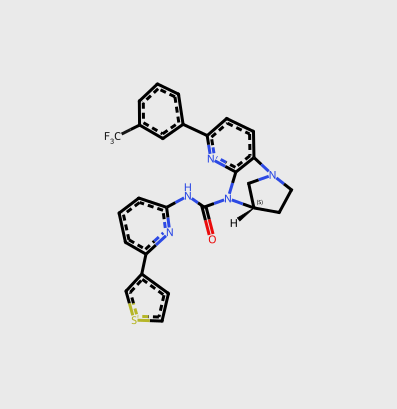 O=C(Nc1cccc(-c2ccsc2)n1)N1c2nc(-c3cccc(C(F)(F)F)c3)ccc2N2CC[C@H]1C2